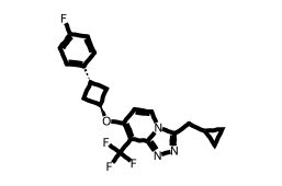 Fc1ccc([C@H]2C[C@H](Oc3ccn4c(CC5CC5)nnc4c3C(F)(F)F)C2)cc1